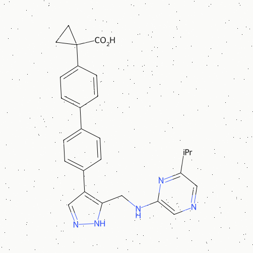 CC(C)c1cncc(NCc2[nH]ncc2-c2ccc(-c3ccc(C4(C(=O)O)CC4)cc3)cc2)n1